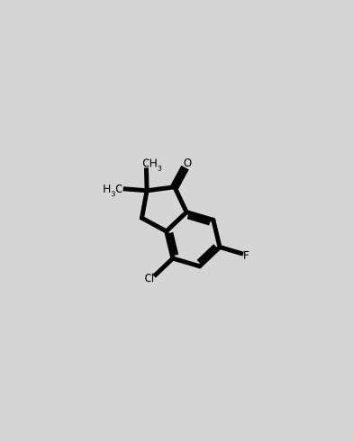 CC1(C)Cc2c(Cl)cc(F)cc2C1=O